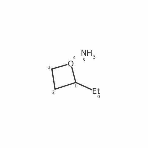 CCC1CCO1.N